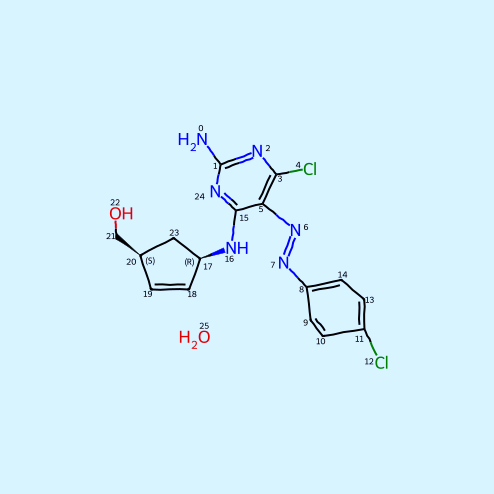 Nc1nc(Cl)c(N=Nc2ccc(Cl)cc2)c(N[C@H]2C=C[C@@H](CO)C2)n1.O